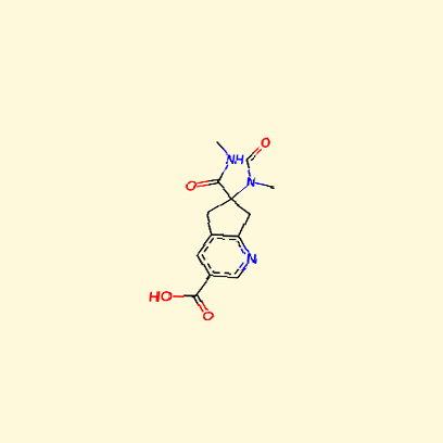 CNC(=O)C1(N(C)C=O)Cc2cc(C(=O)O)cnc2C1